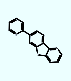 c1ccc(-c2ccc3c(c2)oc2cccnc23)nc1